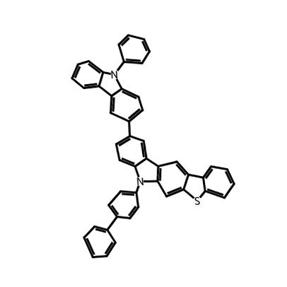 c1ccc(-c2ccc(-n3c4ccc(-c5ccc6c(c5)c5ccccc5n6-c5ccccc5)cc4c4cc5c(cc43)sc3ccccc35)cc2)cc1